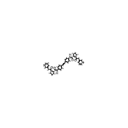 O=C(Nc1ccc(C#Cc2ccc(NC(=O)[C@@H]3CCCN3C(=O)Cc3cccnc3)cc2)cc1)[C@@H]1CCCN1C(=O)Cc1cccnc1